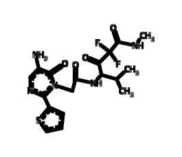 CNC(=O)C(F)(F)C(=O)C(NC(=O)Cn1c(-c2cccs2)ncc(N)c1=O)C(C)C